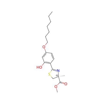 CCCCCCCOc1ccc(C2=N[C@@](C)(C(=O)OC)CS2)c(O)c1